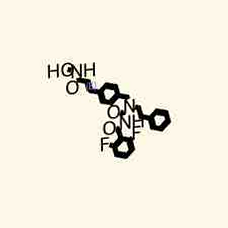 O=C(/C=C/c1ccc(CN(CCc2ccccc2)C(=O)NC(=O)c2c(F)cccc2F)cc1)NO